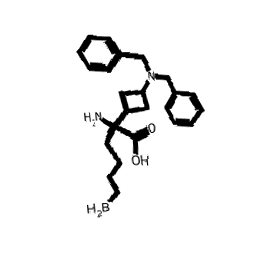 BCCCCC(N)(C(=O)O)C1CC(N(Cc2ccccc2)Cc2ccccc2)C1